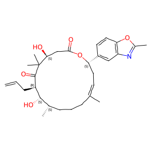 C=CC[C@H]1C(=O)C(C)(C)[C@@H](O)CC(=O)O[C@H](c2ccc3oc(C)nc3c2)CC=C(C)CCC[C@H](C)[C@@H]1O